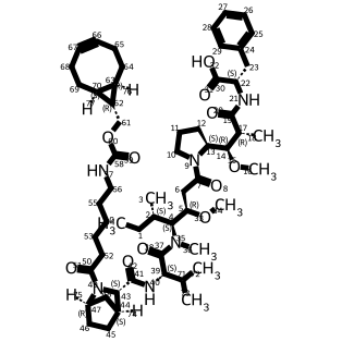 CC[C@H](C)[C@@H]([C@@H](CC(=O)N1CCC[C@H]1[C@H](OC)[C@@H](C)C(=O)N[C@@H](Cc1ccccc1)C(=O)O)OC)N(C)C(=O)[C@@H](NC(=O)[C@@H]1[C@H]2CC[C@H](C2)N1C(=O)CCCCCNC(=O)OC[C@H]1[C@@H]2CCC#CCC[C@@H]21)C(C)C